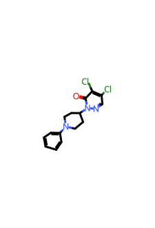 O=c1c(Cl)c(Cl)cnn1C1CCN(c2ccccc2)CC1